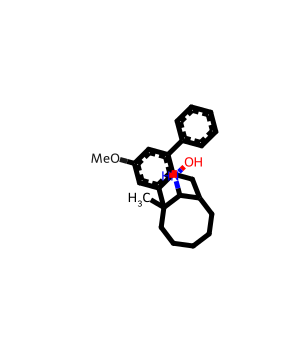 COc1cc(-c2ccccc2)c2c(c1)C1(C)CCCCCC(C2)C1NO